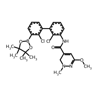 COC1=NN(C)CC(C(=O)Nc2cccc(-c3cccc(B4OC(C)(C)C(C)(C)O4)c3Cl)c2Cl)=C1